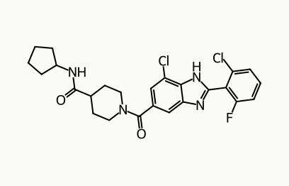 O=C(NC1CCCC1)C1CCN(C(=O)c2cc(Cl)c3[nH]c(-c4c(F)cccc4Cl)nc3c2)CC1